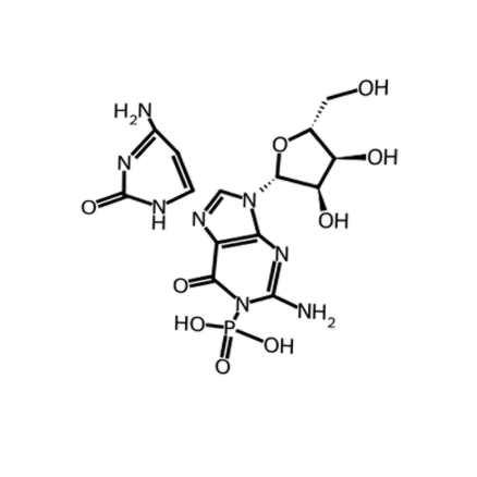 Nc1cc[nH]c(=O)n1.Nc1nc2c(ncn2[C@@H]2O[C@H](CO)[C@@H](O)[C@H]2O)c(=O)n1P(=O)(O)O